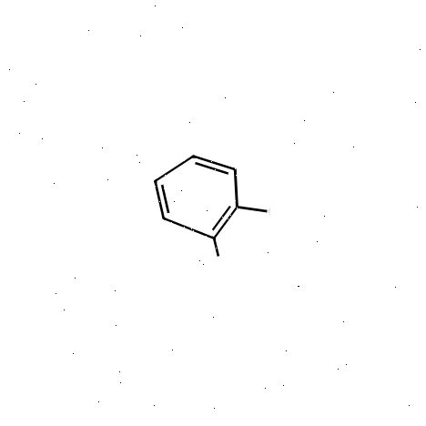 Ic1[c]cccc1I